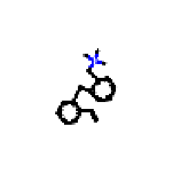 C=Cc1ccccc1Cc1ccccc1C[N+](C)(C)C